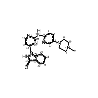 CN1CCN(c2ccc(Nc3nccc(-n4[nH]c(=O)c5ccccc54)n3)nc2)CC1